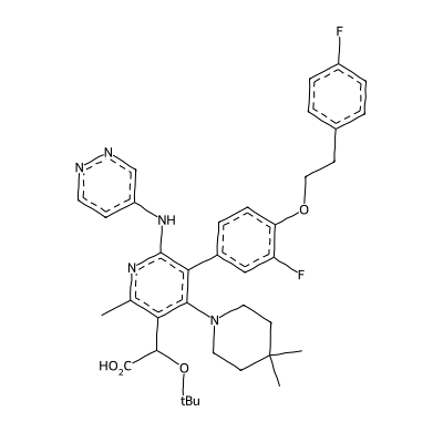 Cc1nc(Nc2ccnnc2)c(-c2ccc(OCCc3ccc(F)cc3)c(F)c2)c(N2CCC(C)(C)CC2)c1C(OC(C)(C)C)C(=O)O